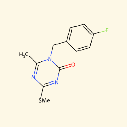 CSc1nc(C)n(Cc2ccc(F)cc2)c(=O)n1